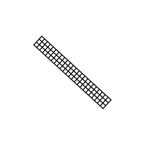 C1C2C3CC4C5C6C7C8C9C%10C%11C%12C%13C%14C%15C%16C%17C%18C%19C%20C%21C%22C%23C%24C%25C%26CC%27C%28CC%29C%30C%31C%32C%33C%34C%35C%36C%37C%38C%39C%40C%41C%42C%43C%44C%45C%46C%47C%48C%49C%50C1C21C34C52C%501C%491C62C72C%481C%471C82C92C%461C%451C%102C%112C%441C%431C%122C%132C%421C%411C%142C%152C%163C%174C%185C%196C%207C%218C%229C%23%10C%24%11C%25%12C%27%26C%28%29C%30%12C%31%11C%32%10C%339C%348C%357C%366C%375C%384C%393C%4012